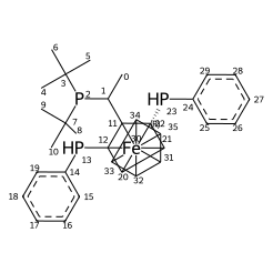 CC(P(C(C)(C)C)C(C)(C)C)[C]12[C]3(Pc4ccccc4)[CH]4[CH]5[C@@]1(Pc1ccccc1)[Fe]45321678[CH]2[CH]1[CH]6[CH]7[CH]28